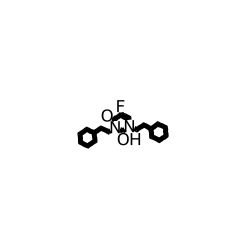 O=C1C(F)=CN(CCC2CCCCC2)C(O)N1CCC1CCCCC1